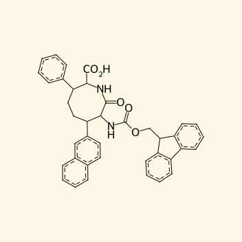 O=C(NC1C(=O)NC(C(=O)O)C(c2ccccc2)CCC1c1ccc2ccccc2c1)OCC1c2ccccc2-c2ccccc21